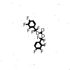 O=C(OC(F)(F)c1ccc(F)c(F)c1F)OC(F)(F)c1ccc(F)c(F)c1F